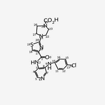 O=C(Nc1ccncc1Nc1ccc(Cl)cc1)c1csc(N2CCN(C(=O)O)CC2)n1